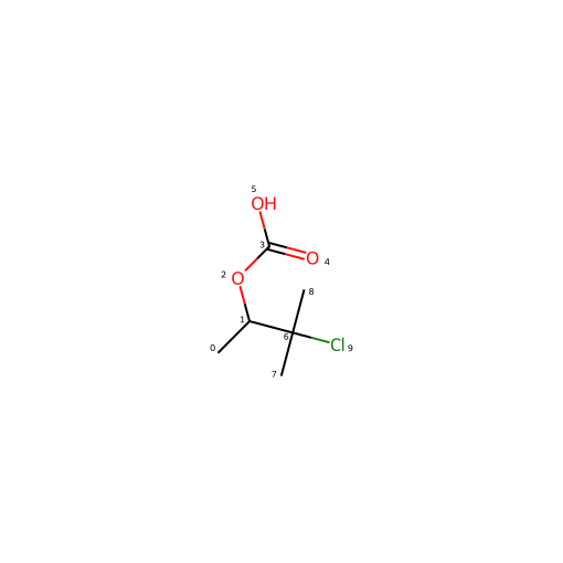 CC(OC(=O)O)C(C)(C)Cl